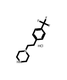 Cl.FC(F)(F)c1ccc(CCN2CCNCC2)cc1